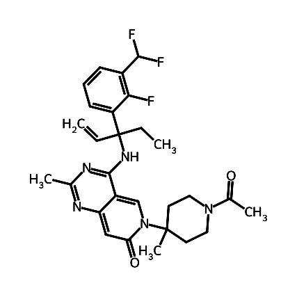 C=CC(CC)(Nc1nc(C)nc2cc(=O)n(C3(C)CCN(C(C)=O)CC3)cc12)c1cccc(C(F)F)c1F